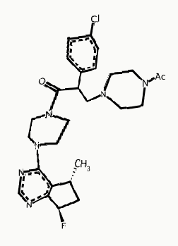 CC(=O)N1CCN(CC(C(=O)N2CCN(c3ncnc4c3[C@H](C)C[C@H]4F)CC2)c2ccc(Cl)cc2)CC1